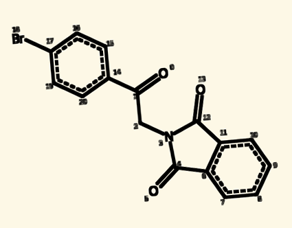 O=C(CN1C(=O)c2ccccc2C1=O)c1ccc(Br)cc1